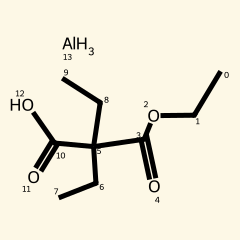 CCOC(=O)C(CC)(CC)C(=O)O.[AlH3]